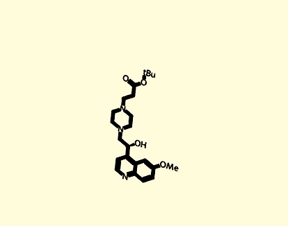 COc1ccc2nccc([C@H](O)CN3CCN(CCC(=O)OC(C)(C)C)CC3)c2c1